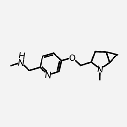 CNCc1ccc(OCC2CC3CC3N2C)cn1